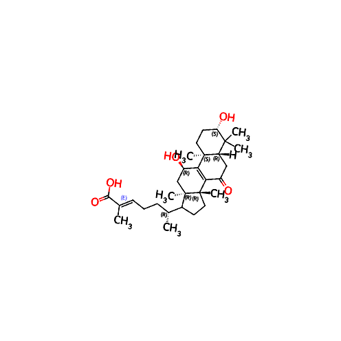 C/C(=C\CC[C@@H](C)C1CC[C@@]2(C)C3=C([C@H](O)C[C@]12C)[C@@]1(C)CC[C@H](O)C(C)(C)[C@@H]1CC3=O)C(=O)O